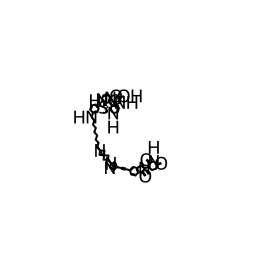 CC1(NC(=O)O)CCNCC1c1nccnc1Sc1cccc(NCCCCCCCCN2CC3(CC(n4cc(C#Cc5ccc6c(c5)CN(C5CCC(=O)NC5=O)C6=O)cn4)C3)C2)c1